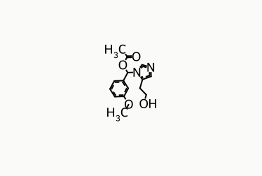 COc1cccc(C(OC(C)=O)n2cncc2CCO)c1